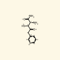 NC(=O)[C@@H](N)C(S)C(=O)Cc1cccnc1